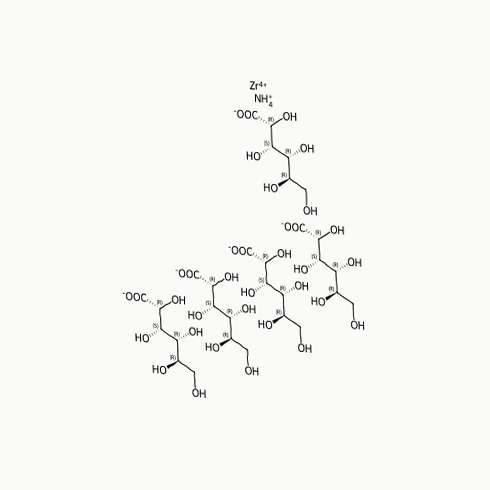 O=C([O-])[C@H](O)[C@@H](O)[C@H](O)[C@H](O)CO.O=C([O-])[C@H](O)[C@@H](O)[C@H](O)[C@H](O)CO.O=C([O-])[C@H](O)[C@@H](O)[C@H](O)[C@H](O)CO.O=C([O-])[C@H](O)[C@@H](O)[C@H](O)[C@H](O)CO.O=C([O-])[C@H](O)[C@@H](O)[C@H](O)[C@H](O)CO.[NH4+].[Zr+4]